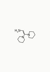 [SiH3]C=C(N1CCCCC1)N1CCCCC1